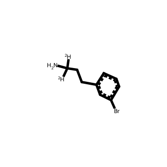 [2H]C([2H])(N)CCc1cccc(Br)c1